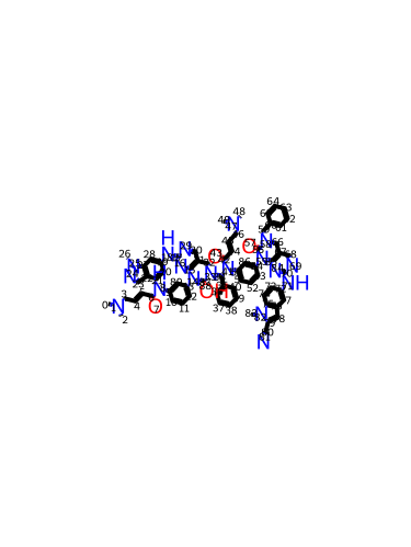 CN(C)C/C=C/C(=O)Nc1cccc(N2c3nc(Nc4ccc5cnn(C)c5c4)ncc3CN(C(c3ccccc3)N(C(=O)/C=C/CN(C)C)c3cccc(N4C(=O)N(Cc5ccccc5)Cc5cnc(Nc6ccc7c(c6)cc(C#N)n7C)nc54)c3)C2O)c1